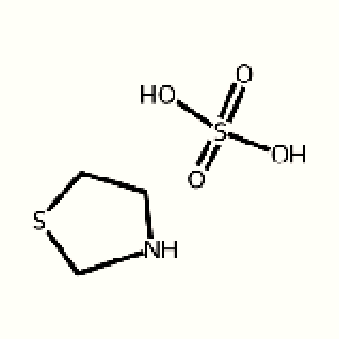 C1CSCN1.O=S(=O)(O)O